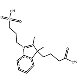 CC1=[N+](CCCS(=O)(=O)O)c2ccccc2C1(C)CCCC(=O)O